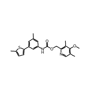 COc1c(C)cnc(COC(=O)Nc2cc(C)cc(-c3ccc(C)s3)c2)c1C